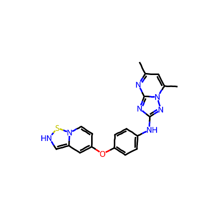 Cc1cc(C)n2nc(Nc3ccc(OC4=CC5=CNSN5C=C4)cc3)nc2n1